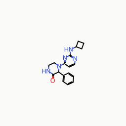 O=C1NCCN(c2ccnc(NC3CCC3)n2)C1c1ccccc1